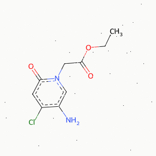 CCOC(=O)Cn1cc(N)c(Cl)cc1=O